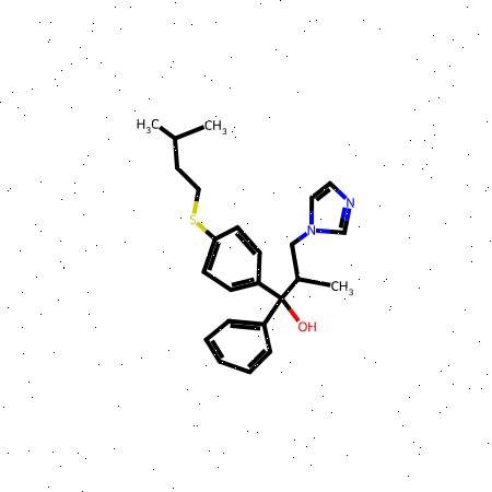 CC(C)CCSc1ccc(C(O)(c2ccccc2)C(C)Cn2ccnc2)cc1